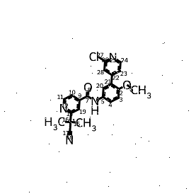 COc1ccc(NC(=O)c2ccnc(C(C)(C)C#N)c2)cc1-c1ccnc(Cl)c1